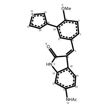 COc1ccc(C=C2C(=O)Nc3cc(NC(C)=O)ccc32)cc1-c1ccsc1